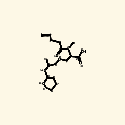 C=CCCC(=O)N(C)C(COCC(C)OC1CCCCO1)C(=O)O